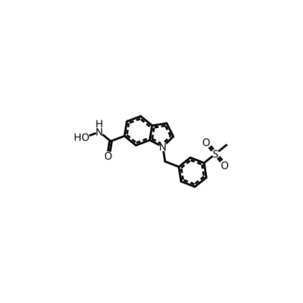 CS(=O)(=O)c1cccc(Cn2ccc3ccc(C(=O)NO)cc32)c1